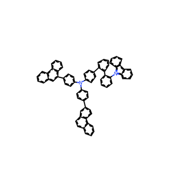 c1ccc(-c2ccccc2-n2c3ccccc3c3ccccc32)c(-c2ccc(N(c3ccc(-c4ccc5c(ccc6ccccc65)c4)cc3)c3ccc(-c4cc5ccccc5c5ccccc45)cc3)cc2)c1